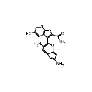 N#Cc1cnc2sc(C(N)=O)c(-c3oc4cc(N)cc-4cc3N)c2c1